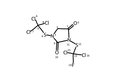 O=C1CN(SC(Cl)(Cl)Cl)C(=O)N1SC(F)(Cl)Cl